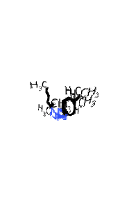 CCCCCC(C)(C)n1nnc2c1CC[C@@H]1C(C(C)(C)C)[C@@H]1CC2